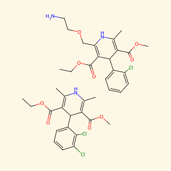 CCOC(=O)C1=C(C)NC(C)=C(C(=O)OC)C1c1cccc(Cl)c1Cl.CCOC(=O)C1=C(COCCN)NC(C)=C(C(=O)OC)C1c1ccccc1Cl